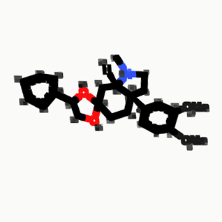 COc1ccc([C@]23CCN(C)[C@H]2CC2(CC3)OCC(c3ccccc3)O2)cc1OC